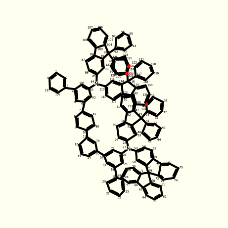 c1ccc(-c2cc(-c3ccc(-c4cccc(-c5cc(-c6ccccc6)cc(N(c6ccc7c(c6)C(c6ccccc6)(c6ccccc6)c6ccccc6-7)c6ccc7c(c6)C6(c8ccccc8-c8ccccc86)c6ccccc6-7)c5)c4)cc3)cc(N(c3ccc4c(c3)C(c3ccccc3)(c3ccccc3)c3ccccc3-4)c3ccc4c(c3)C(c3ccccc3)(c3ccccc3)c3ccccc3-4)c2)cc1